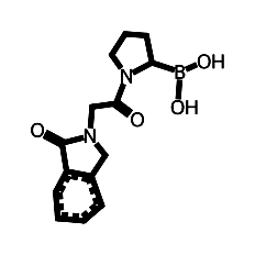 O=C1c2ccccc2CN1CC(=O)N1CCCC1B(O)O